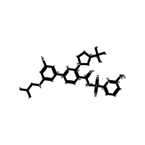 CC(C)COc1cc(F)cc(-c2ccc(C(=O)NS(=O)(=O)c3cccc(N)n3)c(N3CCC(C(C)(C)C)C3)n2)c1